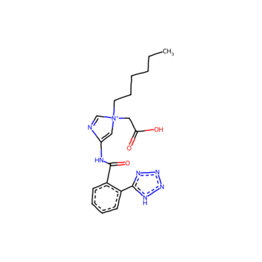 CCCCCC[N+]1(CC(=O)O)C=NC(NC(=O)c2ccccc2-c2nnn[nH]2)=C1